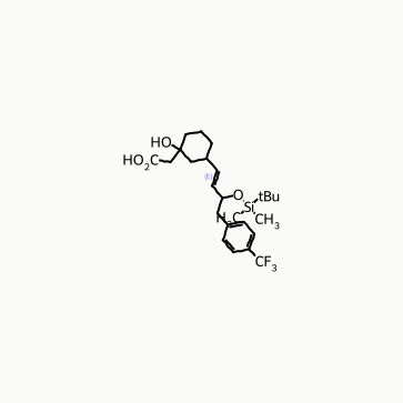 CC(C)(C)[Si](C)(C)OC(/C=C/C1CCCC(O)(CC(=O)O)C1)Cc1ccc(C(F)(F)F)cc1